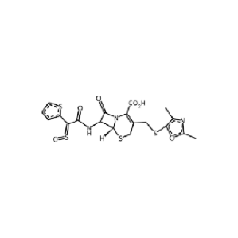 Cc1nc(C)c(SCC2=C(C(=O)O)N3C(=O)C(NC(=O)C(=S=O)c4cccs4)[C@H]3SC2)o1